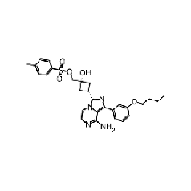 CCCCOc1cccc(-c2nc([C@H]3C[C@](O)(COS(=O)(=O)c4ccc(C)cc4)C3)n3ccnc(N)c23)c1